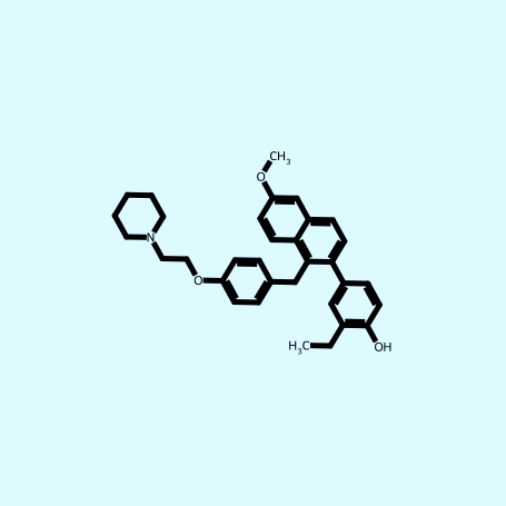 CCc1cc(-c2ccc3cc(OC)ccc3c2Cc2ccc(OCCN3CCCCC3)cc2)ccc1O